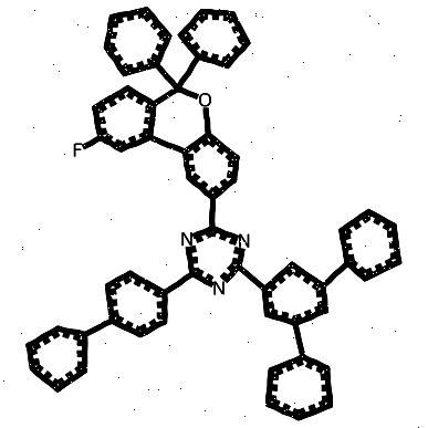 Fc1ccc2c(c1)-c1cc(-c3nc(-c4ccc(-c5ccccc5)cc4)nc(-c4cc(-c5ccccc5)cc(-c5ccccc5)c4)n3)ccc1OC2(c1ccccc1)c1ccccc1